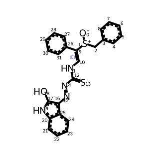 [O-][S+](Cc1ccccc1)/C(=C/NC(=S)N=Nc1c(O)[nH]c2ccccc12)c1ccccc1